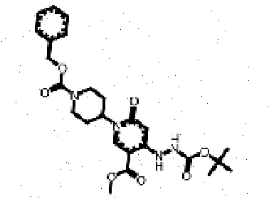 COC(=O)c1cn(C2CCN(C(=O)OCc3ccccc3)CC2)c(=O)cc1NNC(=O)OC(C)(C)C